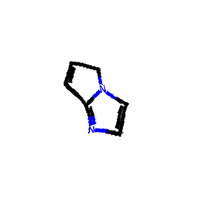 [c]1cn2c(n1)C=CC2